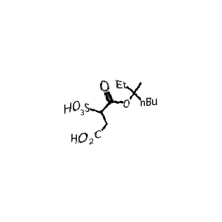 CCCCC(C)(CC)OC(=O)C(CC(=O)O)S(=O)(=O)O